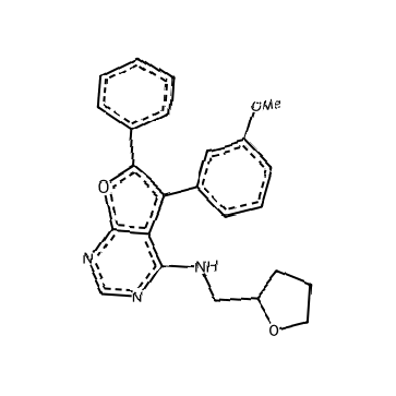 COc1cccc(-c2c(-c3ccccc3)oc3ncnc(NCC4CCCO4)c23)c1